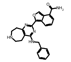 NC(=O)c1cccc2c(-c3nc4c(c(NCc5ccccc5)n3)CCNCC4)occ12